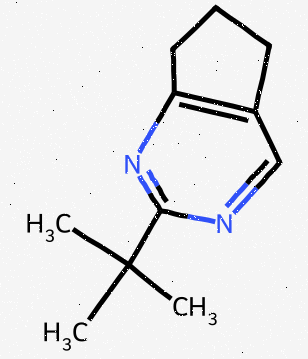 CC(C)(C)c1ncc2c(n1)CCC2